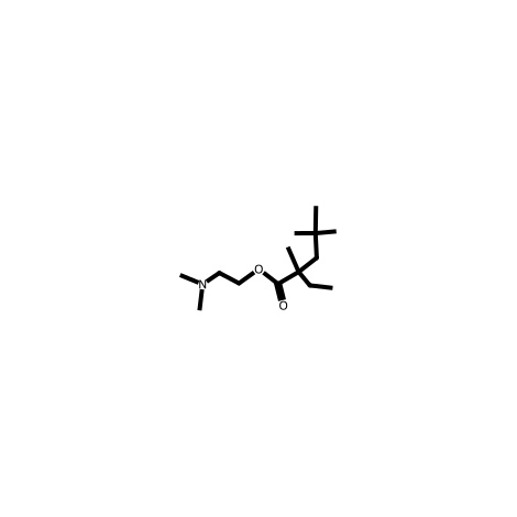 CCC(C)(CC(C)(C)C)C(=O)OCCN(C)C